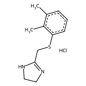 Cc1cccc(SCC2=NCCN2)c1C.Cl